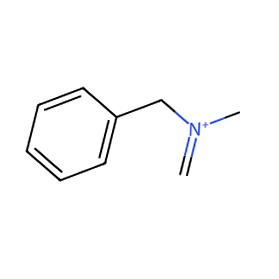 C=[N+](C)Cc1ccccc1